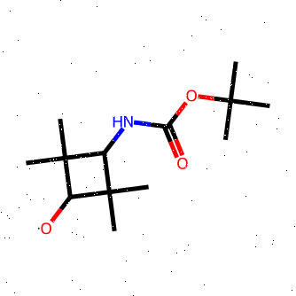 CC(C)(C)OC(=O)NC1C(C)(C)C([O])C1(C)C